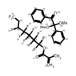 C=C(C)C(=O)OC(F)(F)C(F)(F)C(F)(F)C(F)(F)C(F)CC(F)(F)F.COC(OC)(C(=O)c1ccccc1)c1ccccc1